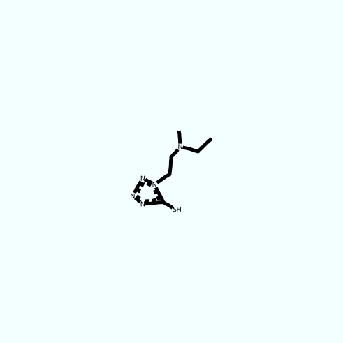 CCN(C)CCn1nnnc1S